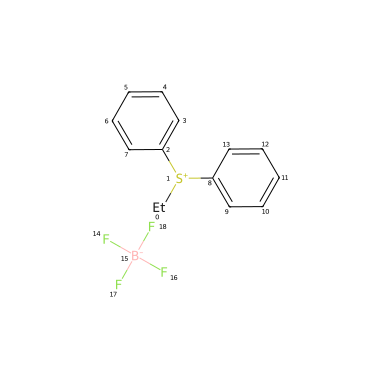 CC[S+](c1ccccc1)c1ccccc1.F[B-](F)(F)F